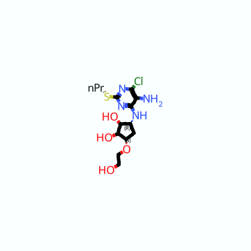 CCCSc1nc(Cl)c(N)c(N[C@@H]2C[C@H](OCCO)C(O)C2O)n1